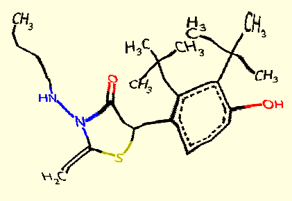 C=C1SC(c2ccc(O)c(C(C)(C)C)c2C(C)(C)C)C(=O)N1NCCC